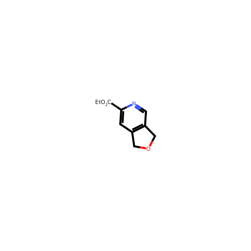 CCOC(=O)c1cc2c(cn1)COC2